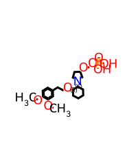 COc1ccc(CCO[C@@H]2CCCC[C@@H]2N2CCC(OCOP(=O)(O)O)C2)cc1OC